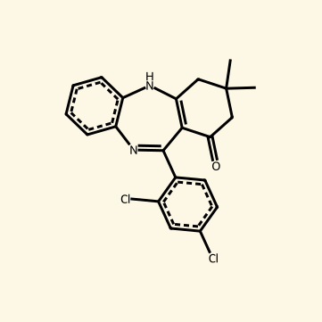 CC1(C)CC(=O)C2=C(C1)Nc1ccccc1N=C2c1ccc(Cl)cc1Cl